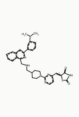 CN(C)c1cccc(-c2cc3ccccc3c(CNCC3CCN(c4nccc(/C=C5\SC(=O)NC5=O)n4)CC3)n2)c1